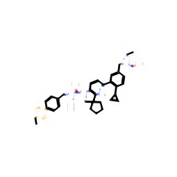 CCN(COC)Cc1ccc(C2CC2)c(-c2ccc3c(n2)C2(CCCC2)CN3C(=O)NCc2ccc(S(=O)(=O)CC)cc2)c1